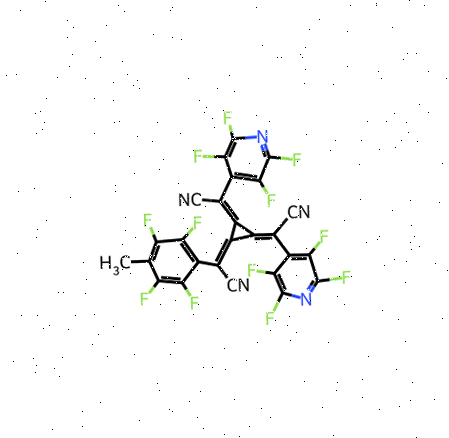 Cc1c(F)c(F)c(/C(C#N)=C2/C(=C(C#N)c3c(F)c(F)nc(F)c3F)/C2=C(/C#N)c2c(F)c(F)nc(F)c2F)c(F)c1F